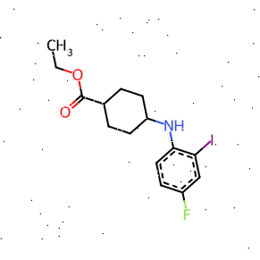 CCOC(=O)C1CCC(Nc2ccc(F)cc2I)CC1